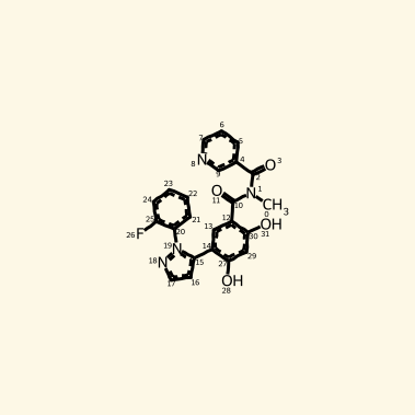 CN(C(=O)c1cccnc1)C(=O)c1cc(-c2ccnn2-c2ccccc2F)c(O)cc1O